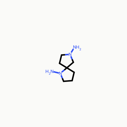 NN1CCC2(CCCN2N)C1